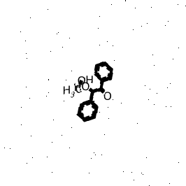 CO.O=C(c1ccccc1)C(O)c1ccccc1